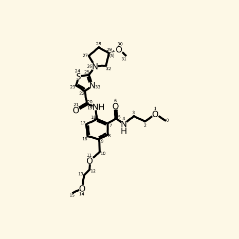 COCCNC(=O)c1cc(COCCOC)ccc1NC(=O)c1csc(N2CC[C@H](OC)C2)n1